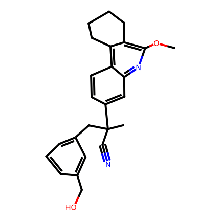 COc1nc2cc(C(C)(C#N)Cc3cccc(CO)c3)ccc2c2c1CCCC2